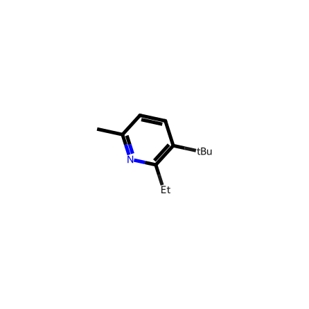 CCc1nc(C)ccc1C(C)(C)C